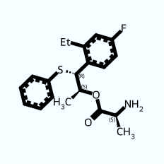 CCc1cc(F)ccc1[C@@H](Sc1ccccc1)[C@H](C)OC(=O)[C@H](C)N